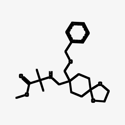 COC(=O)C(C)(C)NCC1(COCc2ccccc2)CCC2(CC1)OCCO2